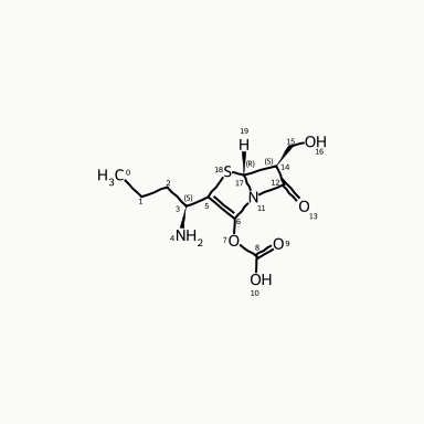 CCC[C@H](N)C1=C(OC(=O)O)N2C(=O)[C@H](CO)[C@H]2S1